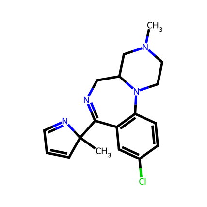 CN1CCN2c3ccc(Cl)cc3C(C3(C)C=CC=N3)=NCC2C1